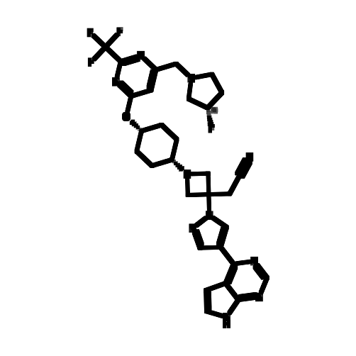 N#CCC1(n2cc(-c3ncnc4[nH]ccc34)cn2)CN([C@H]2CC[C@@H](Oc3cc(CN4CC[C@H](F)C4)nc(C(F)(F)F)n3)CC2)C1